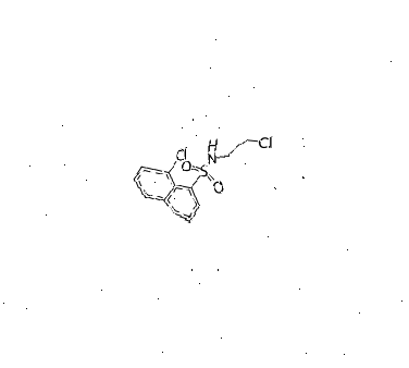 O=S(=O)(NCCCl)c1cccc2cccc(Cl)c12